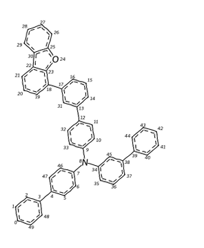 c1ccc(-c2ccc(N(c3ccc(-c4cccc(-c5cccc6c5oc5ccccc56)c4)cc3)c3cccc(-c4ccccc4)c3)cc2)cc1